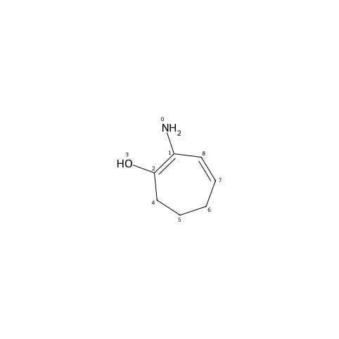 NC1=C(O)CCCC=C1